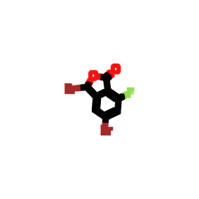 O=C1OC(Br)c2cc(Br)cc(F)c21